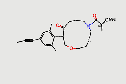 CC#Cc1cc(C)c(C2COCCCCN(C(=O)[C@H](C)OC)CCCC2=O)c(C)c1